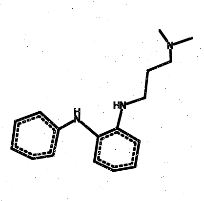 CN(C)CCCNc1ccccc1Nc1ccccc1